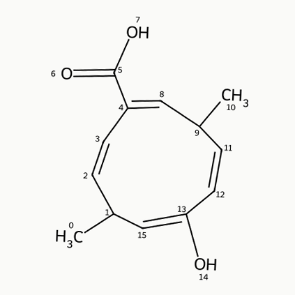 CC1/C=C\C(C(=O)O)=C/C(C)/C=C\C(O)=C/1